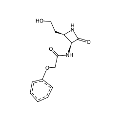 O=C(COc1ccccc1)N[C@@H]1C(=O)N[C@@H]1CCO